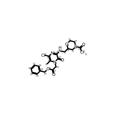 Cc1c(Cl)nc(NCC2CN(C(=O)C(F)(F)F)CCO2)c(=O)n1CC(=O)OCc1ccccc1